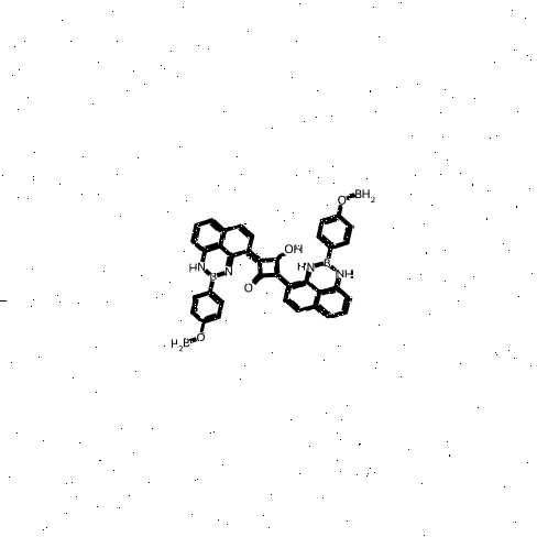 BOc1ccc(B2N=c3/c(=C4\C(=O)C(c5ccc6cccc7c6c5NB(c5ccc(OB)cc5)N7)C4O)ccc4cccc(c34)N2)cc1